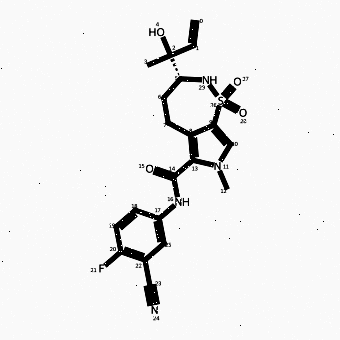 C=CC(C)(O)[C@H]1CCc2c(cn(C)c2C(=O)Nc2ccc(F)c(C#N)c2)S(=O)(=O)N1